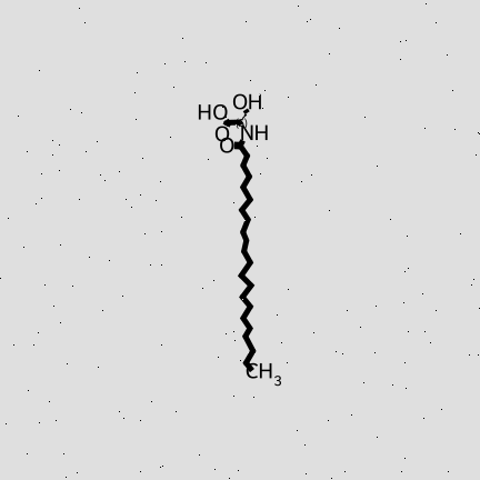 CCCCCCCCCCCCCCCCCCCCCC(=O)N[C@@H](CO)C(=O)O